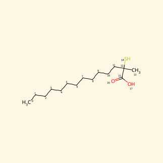 CCCCCCCCCCCCC(C)(S)C(=O)O